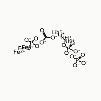 O=C([O-])[O-].O=P([O-])([O-])[O-].O=P([O-])([O-])[O-].O=P([O-])([O-])[O-].[Fe+2].[Fe+2].[Fe+2].[Li+].[Li+].[Li+].[NH4+].[NH4+]